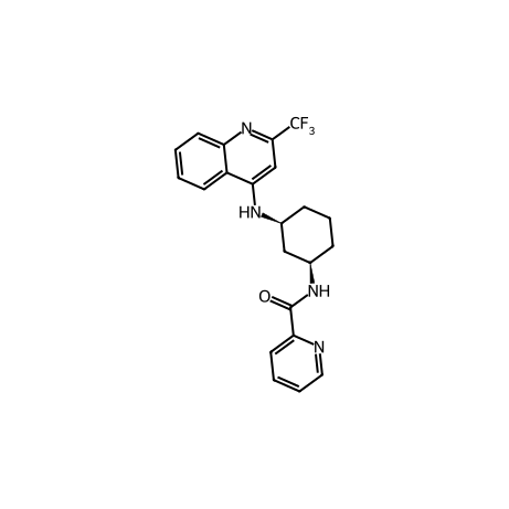 O=C(N[C@@H]1CCC[C@H](Nc2cc(C(F)(F)F)nc3ccccc23)C1)c1ccccn1